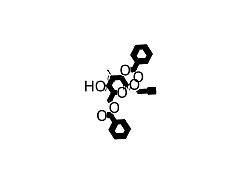 C#CCO[C@@H]1OC(COC(=O)c2ccccc2)[C@H](O)[C@H](C)C1OC(=O)c1ccccc1